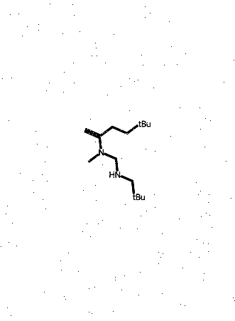 C=C(CCC(C)(C)C)N(C)CNCC(C)(C)C